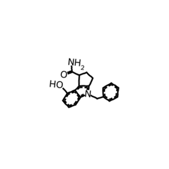 NC(=O)C1CCc2c1c1c(O)cccc1n2Cc1ccccc1